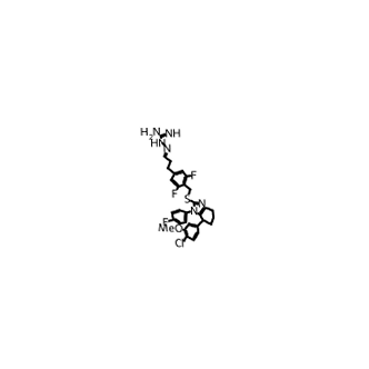 COc1cc(C2CCCc3nc(SCc4c(F)cc(CC/C=N/NC(=N)N)cc4F)n(-c4ccc(F)cc4)c32)ccc1Cl